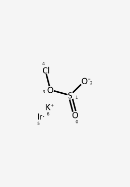 O=S([O-])OCl.[Ir].[K+]